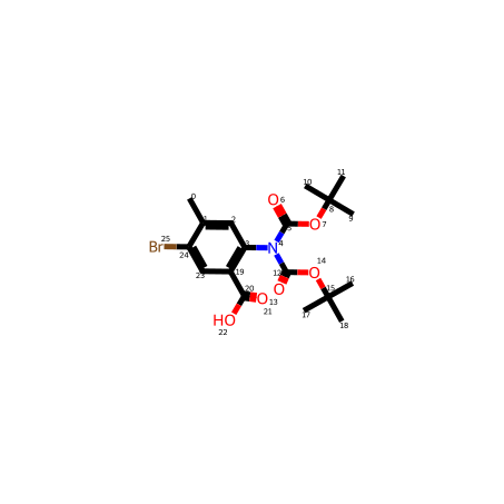 Cc1cc(N(C(=O)OC(C)(C)C)C(=O)OC(C)(C)C)c(C(=O)O)cc1Br